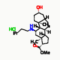 COC(=O)[C@H]1CC[C@H]2[C@@H]3CC[C@H]4C[C@@H](O)CC[C@]4(C)[C@H]3[C@H](NCCC(C)C)C[C@]12C.Cl